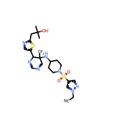 CC(C)(O)Cc1ncc(C2N=CN=CC2(NC2CCN(S(=O)(=O)c3cnn(CC#N)c3)CC2)C(F)(F)F)s1